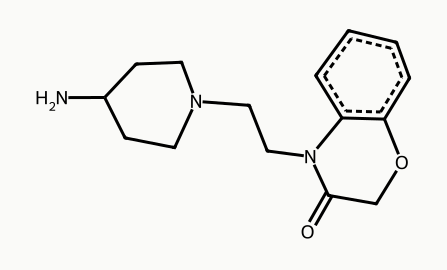 NC1CCN(CCN2C(=O)COc3ccccc32)CC1